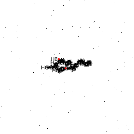 Br.Cc1ccc(S(=O)(=O)O)cc1.O=C(NOCCO)c1ccc(-c2ccc3nnn(Cc4ccc5ncccc5c4)c3n2)cc1Cl.O=C(c1ccc(-c2ccc3nnn(Cc4ccc5ncccc5c4)c3n2)cc1)N(Cl)OCCO